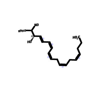 CCCCCC(N=O)[C@@H](O)/C=C/C=C\C=C/C/C=C\C/C=C\CCC(=O)O